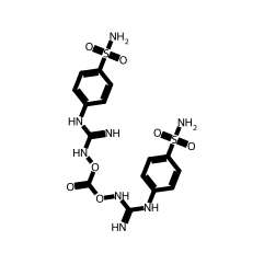 N=C(NOC(=O)ONC(=N)Nc1ccc(S(N)(=O)=O)cc1)Nc1ccc(S(N)(=O)=O)cc1